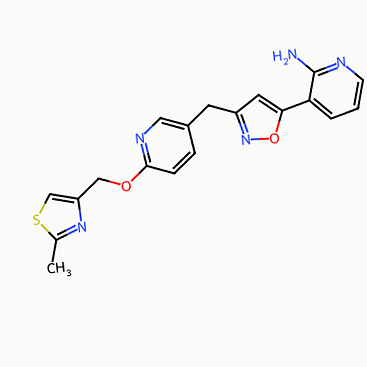 Cc1nc(COc2ccc(Cc3cc(-c4cccnc4N)on3)cn2)cs1